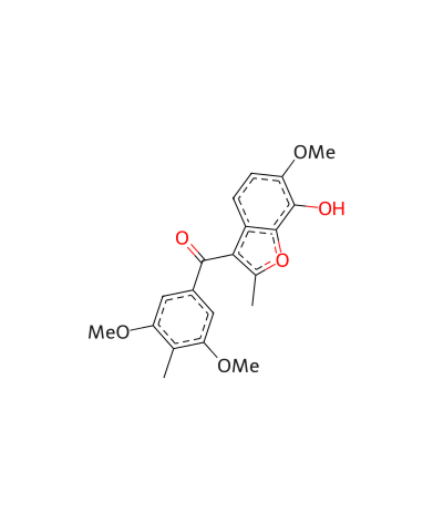 COc1cc(C(=O)c2c(C)oc3c(O)c(OC)ccc23)cc(OC)c1C